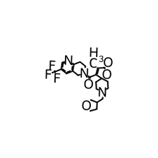 CC1=C(C(=O)N2CCc3ncc(C(F)(F)F)cc3C2)C2(CCN(CC3CCOC3)CC2)OC1=O